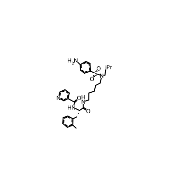 Cc1ccccc1C[C@H](NC(=O)c1cccnc1)C(=O)NCCCCCN(CC(C)C)S(=O)(=O)c1ccc(N)cc1